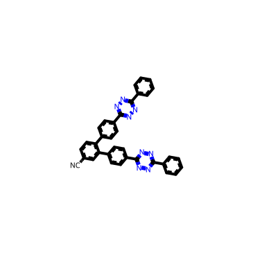 N#Cc1ccc(-c2ccc(-c3nnc(-c4ccccc4)nn3)cc2)c(-c2ccc(-c3nnc(-c4ccccc4)nn3)cc2)c1